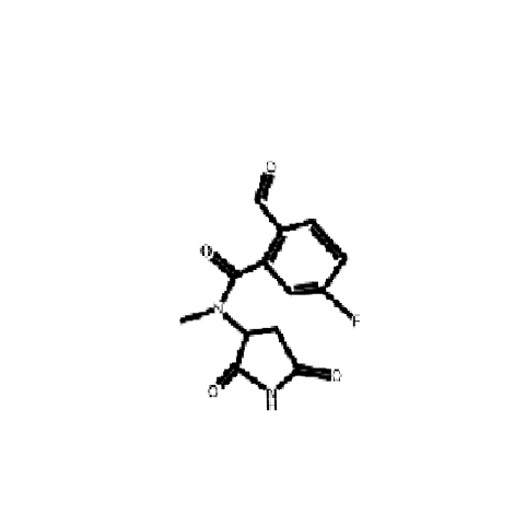 CN(C(=O)c1cc(F)ccc1C=O)C1CC(=O)NC1=O